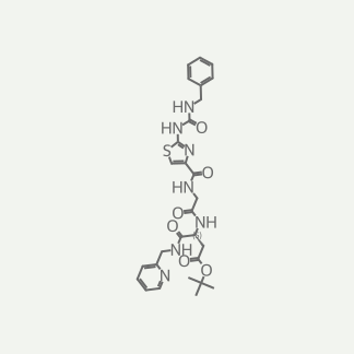 CC(C)(C)OC(=O)C[C@H](NC(=O)CNC(=O)c1csc(NC(=O)NCc2ccccc2)n1)C(=O)NCc1ccccn1